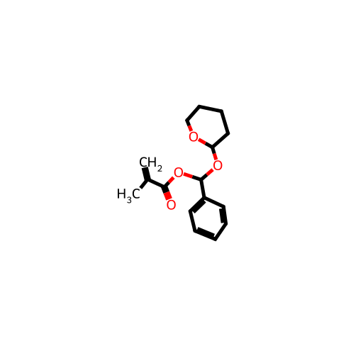 C=C(C)C(=O)OC(OC1CCCCO1)c1ccccc1